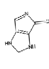 O=C1N=CC2=C1NCN2